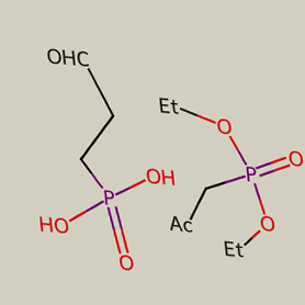 CCOP(=O)(CC(C)=O)OCC.O=CCCP(=O)(O)O